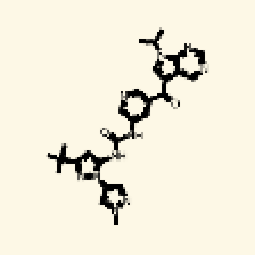 CC(C)n1cc(C(=O)c2cncc(NC(=O)Nc3cc(C(C)(C)C)nn3-c3cnn(C)c3)c2)c2cncnc21